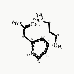 CCCCO.O=C(O)Cc1ccccn1